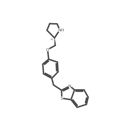 c1ccc2sc(Cc3ccc(OC[C@H]4CCCN4)cc3)nc2c1